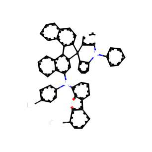 CCc1ccc(N(c2cc3c(c4ccccc24)-c2c(ccc4ccccc24)C32c3ccccc3N(c3ccccc3)c3ccccc32)c2cccc3c2oc2c(C(F)(F)F)cccc23)cc1